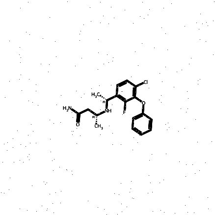 C[C@H](CC(N)=O)N[C@H](C)c1ccc(Cl)c(Oc2ccccc2)c1F